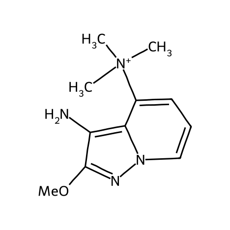 COc1nn2cccc([N+](C)(C)C)c2c1N